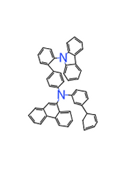 C1=CCC(c2cccc(N(c3ccc(-c4ccccc4-n4c5ccccc5c5ccccc54)cc3)c3cc4ccccc4c4ccccc34)c2)C=C1